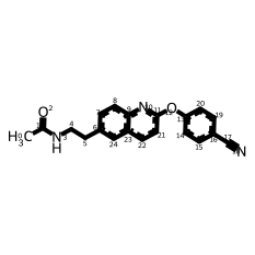 CC(=O)NCCc1ccc2nc(Oc3ccc(C#N)cc3)ccc2c1